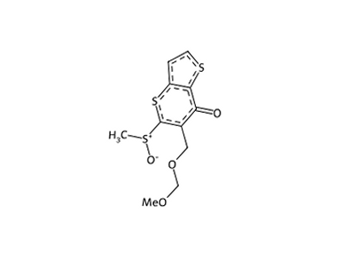 COCOCc1c([S+](C)[O-])sc2ccsc2c1=O